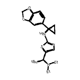 CCN(CC)C(c1cnc(NC2(c3ccc4c(c3)OCO4)CC2)s1)C(C)(C)C